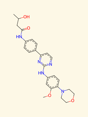 COc1cc(Nc2nccc(-c3ccc(NC(=O)CC(C)O)cc3)n2)ccc1N1CCOCC1